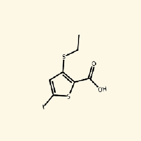 CCSc1cc(I)sc1C(=O)O